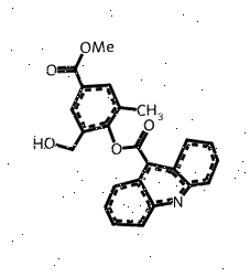 COC(=O)c1cc(C)c(OC(=O)c2c3ccccc3nc3ccccc23)c(CO)c1